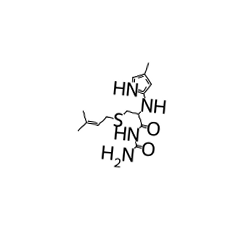 CC(C)=CCSCC(Nc1cc(C)c[nH]1)C(=O)NC(N)=O